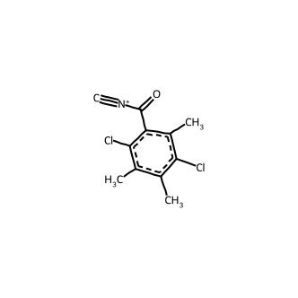 [C-]#[N+]C(=O)c1c(C)c(Cl)c(C)c(C)c1Cl